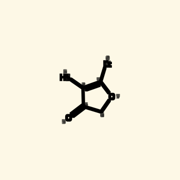 CCC1=C(S)C(=O)CO1